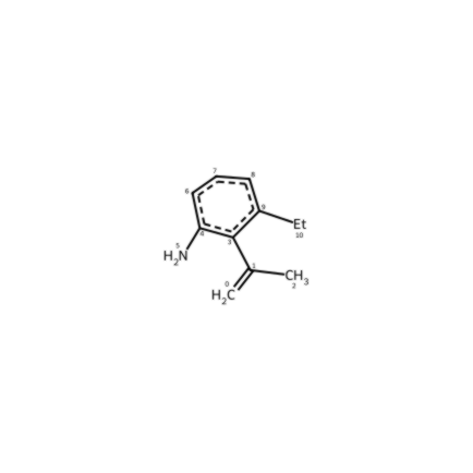 C=C(C)c1c(N)cccc1CC